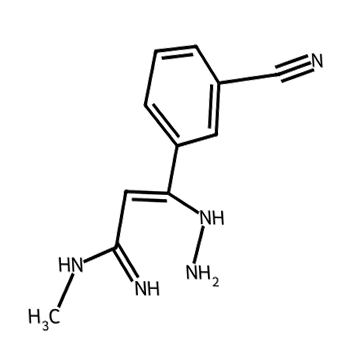 CNC(=N)/C=C(\NN)c1cccc(C#N)c1